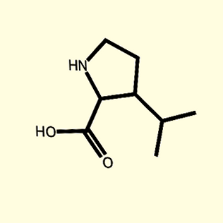 CC(C)C1CCNC1C(=O)O